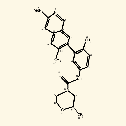 CNc1ncc2cc(-c3cc(NC(=O)N4CCO[C@@H](C(F)(F)F)C4)ccc3C)c(C)nc2n1